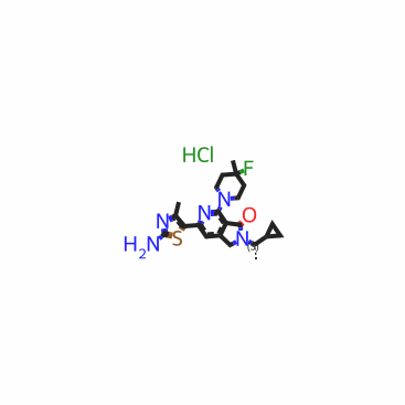 Cc1nc(N)sc1-c1cc2c(c(N3CCC(C)(F)CC3)n1)C(=O)N([C@@H](C)C1CC1)C2.Cl